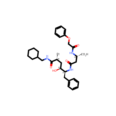 CC[C@H](C[C@H](O)[C@H](Cc1ccccc1)NC(=O)C[C@H](NC(=O)COc1ccccc1)C(=O)O)C(=O)NCC1CCCCC1